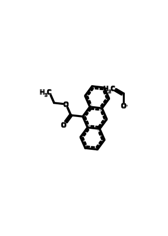 C=C[O].CCOC(=O)c1c2ccccc2cc2ccccc12